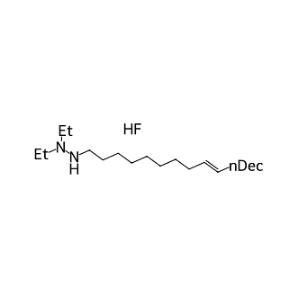 CCCCCCCCCCC=CCCCCCCCCNN(CC)CC.F